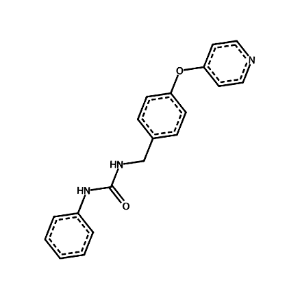 O=C(NCc1ccc(Oc2ccncc2)cc1)Nc1ccccc1